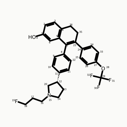 Oc1ccc2c(c1)C(c1ccc([C@@H]3CCN(CCCF)C3)cc1)=C(c1ccc(OC(F)(F)F)cc1)CC2